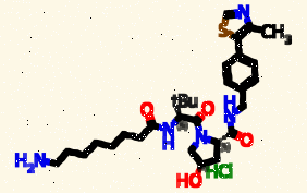 Cc1ncsc1-c1ccc(CNC(=O)[C@@H]2C[C@@H](O)CN2C(=O)[C@@H](NC(=O)CCCCCCCN)C(C)(C)C)cc1.Cl